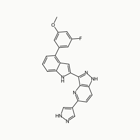 COc1cc(F)cc(-c2cccc3[nH]c(-c4n[nH]c5ccc(-c6cn[nH]c6)nc45)cc23)c1